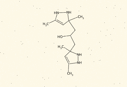 CC1=CC(C)(CC(O)CC2(C)C=C(C)NN2)NN1